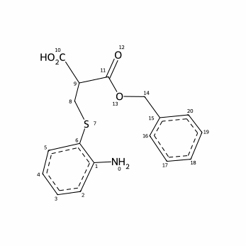 Nc1ccccc1SCC(C(=O)O)C(=O)OCc1ccccc1